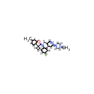 Cc1ccc(C2(C(=O)N(Cc3ccc(N4CCN(C)CC4)nc3)c3ccc(F)cc3)CCC2)cc1